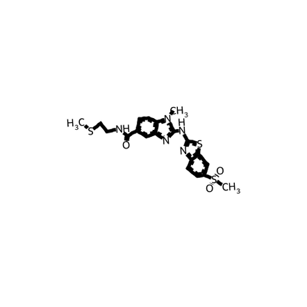 CSCCNC(=O)c1ccc2c(c1)nc(Nc1nc3ccc(S(C)(=O)=O)cc3s1)n2C